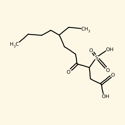 CCCCC(CC)CCC(=O)C(CC(=O)O)S(=O)(=O)O